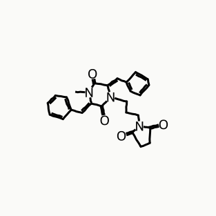 Cn1c(=O)/c(=C/c2ccccc2)n(CCCN2C(=O)CCC2=O)c(=O)/c1=C/c1ccccc1